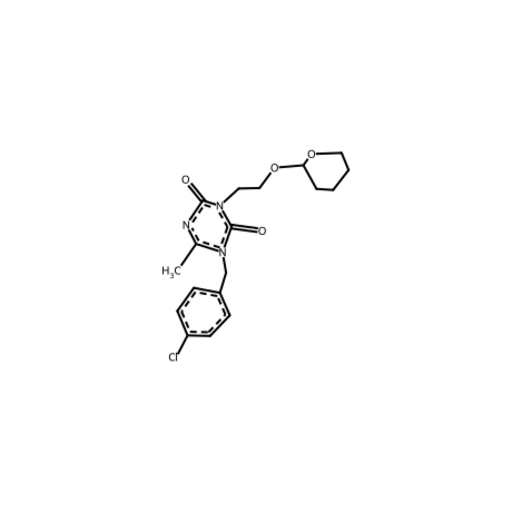 Cc1nc(=O)n(CCOC2CCCCO2)c(=O)n1Cc1ccc(Cl)cc1